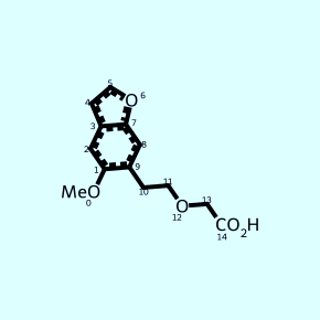 COc1cc2ccoc2cc1CCOCC(=O)O